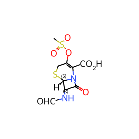 CS(=O)(=O)OC1=C(C(=O)O)N2C(=O)[C@@H](NC=O)[C@@H]2SC1